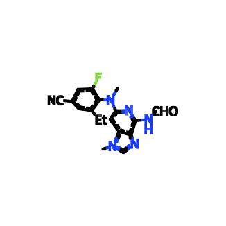 CCc1cc(C#N)cc(F)c1N(C)c1cc2c(ncn2C)c(NC=O)n1